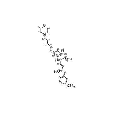 Cc1cccc(C[C@@H](O)/C=C/[C@@H]2[C@H]3CC(CSCCCN4CCCCC4)=C[C@H]3C[C@H]2O)c1